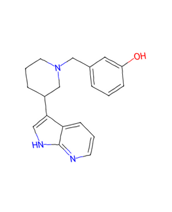 Oc1cccc(CN2CCCC(c3c[nH]c4ncccc34)C2)c1